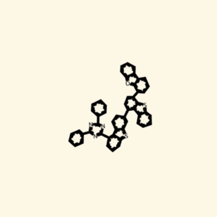 c1ccc(-c2nc(-c3ccccc3)nc(-c3cccc4sc5cc(-c6ccc(-c7cccc8c7oc7ccccc78)c7sc8ccccc8c67)ccc5c34)n2)cc1